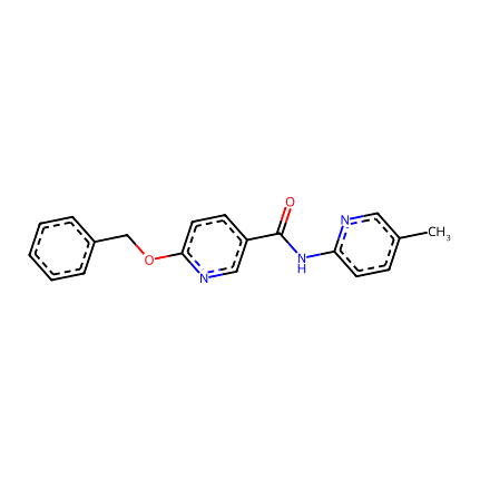 Cc1ccc(NC(=O)c2ccc(OCc3ccccc3)nc2)nc1